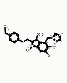 CCOC(=O)c1c(CSc2ccc(CN)cc2)n(C)c2cc(Br)c(O)c(Cn3cncn3)c12